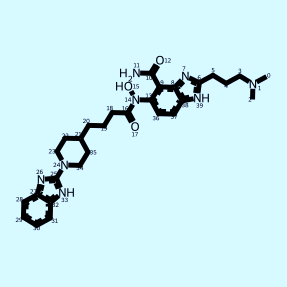 CN(C)CCCc1nc2c(C(N)=O)c(N(O)C(=O)CCCC3CCN(c4nc5ccccc5[nH]4)CC3)ccc2[nH]1